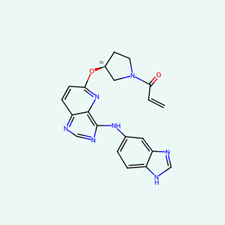 C=CC(=O)N1CC[C@H](Oc2ccc3ncnc(Nc4ccc5[nH]cnc5c4)c3n2)C1